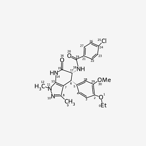 CCOc1ccc([C@@H]2c3c(C)nn(C)c3NC(=O)[C@@H]2NC(=O)c2ccc(Cl)cc2)cc1OC